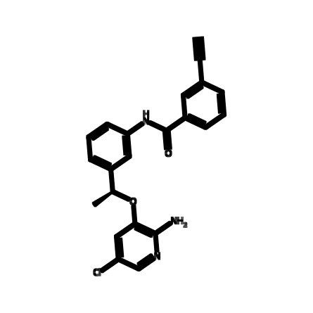 C#Cc1cccc(C(=O)Nc2cccc([C@H](C)Oc3cc(Cl)cnc3N)c2)c1